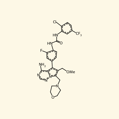 COCc1c(-c2ccc(NC(=O)Nc3cc(C(F)(F)F)ccc3Cl)c(F)c2)c2c(N)ncnn2c1CN1CCOCC1